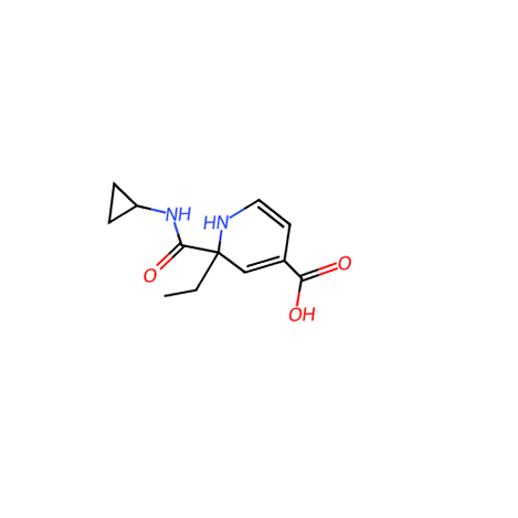 CCC1(C(=O)NC2CC2)C=C(C(=O)O)C=CN1